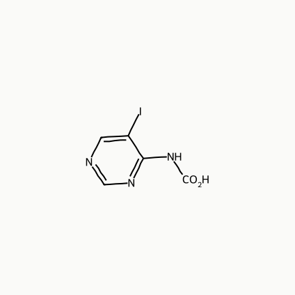 O=C(O)Nc1ncncc1I